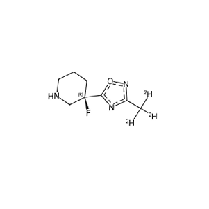 [2H]C([2H])([2H])c1noc([C@@]2(F)CCCNC2)n1